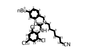 CCCCc1ccc(CN(CCCCCCC#N)C(=O)Nc2c(Cl)cc(Cl)cc2Cl)cc1